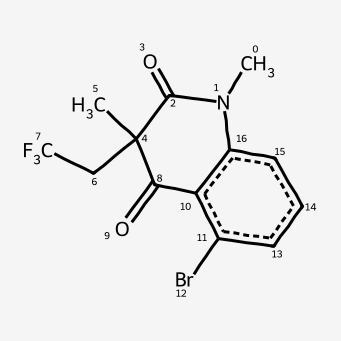 CN1C(=O)C(C)(CC(F)(F)F)C(=O)c2c(Br)cccc21